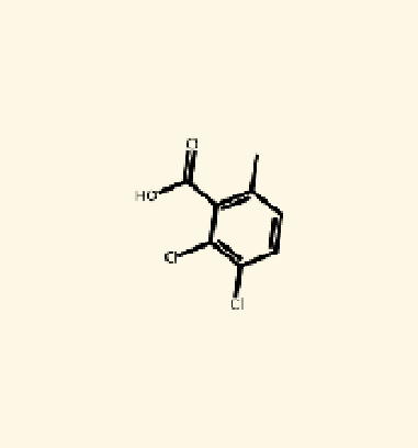 Cc1ccc(Cl)c(Cl)c1C(=O)O